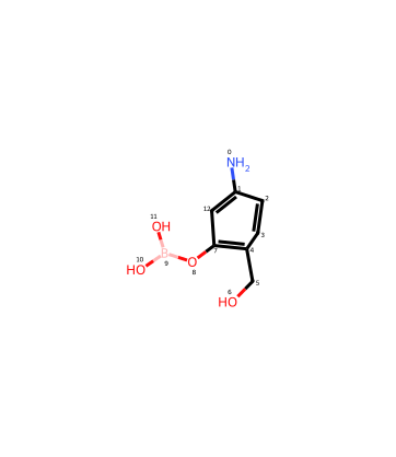 Nc1ccc(CO)c(OB(O)O)c1